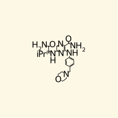 CC(C)[C@@H](Nc1cnc(C(N)=O)c(Nc2ccc(CN3CCOCC3)cc2)n1)C(N)=O